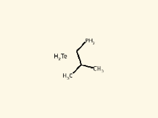 CC(C)CP.[TeH2]